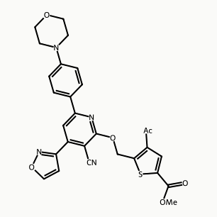 COC(=O)c1cc(C(C)=O)c(COc2nc(-c3ccc(N4CCOCC4)cc3)cc(-c3ccon3)c2C#N)s1